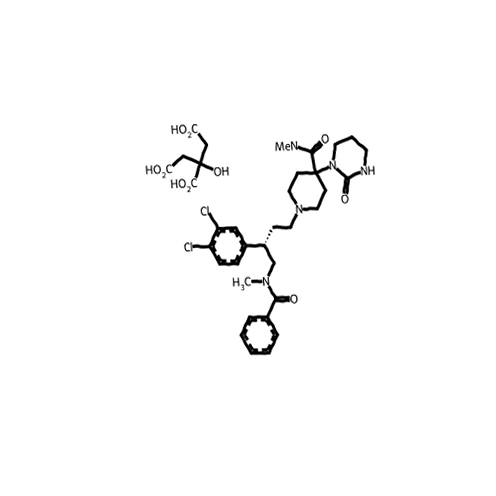 CNC(=O)C1(N2CCCNC2=O)CCN(CC[C@H](CN(C)C(=O)c2ccccc2)c2ccc(Cl)c(Cl)c2)CC1.O=C(O)CC(O)(CC(=O)O)C(=O)O